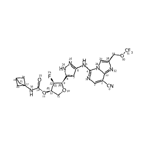 N#Cc1cnc(Nc2cc([C@H]3OC[C@@H](OC(=O)NC45CC(C4)C5)[C@H]3F)[nH]n2)n2cc(COC(F)(F)F)nc12